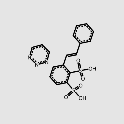 O=S(=O)(O)c1cccc(C=Cc2ccccc2)c1S(=O)(=O)O.c1cnnnc1